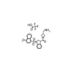 COc1ccc(S(=O)(=O)N2CC(C(=O)N3CC(CN)C3)c3ccccc32)c2ccccc12.O=C(O)C(F)(F)F